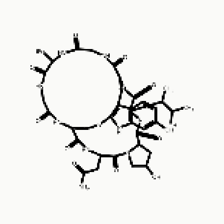 CCC(C)C1NC(=O)CNC(=O)C2Cc3c([nH]c4cc(O)ccc34)SCC(NC(=O)CNC1=O)C(=O)NC(CC(N)=O)C(=O)N1CC(O)CC1C(=O)NC(C(C)C(C)O)C(=O)N2